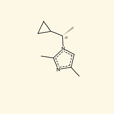 Cc1cn([C@@H](C)C2CC2)c(C)n1